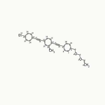 C=COCOCc1ccc(C#Cc2ccc(C#Cc3ccc(CC)cc3)cc2C)cc1